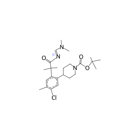 Cc1cc(C(C)(C)C(=O)/N=C/N(C)C)c(C2CCN(C(=O)OC(C)(C)C)CC2)cc1Cl